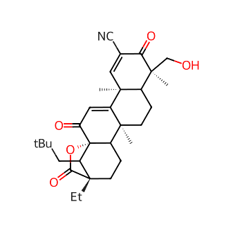 CC[C@@]12CCC3[C@](OC1=O)(C(=O)C=C1[C@@]4(C)C=C(C#N)C(=O)[C@@](C)(CO)C4CC[C@]13C)C2CC(C)(C)C